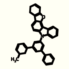 CC1C=CC=C(c2cc(-c3ccccc3)cc(-n3c4ccccc4c4c5oc6c(c5ccc43)CCC=C6)c2)C1